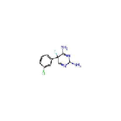 NC1=NC(N)N=CC1(F)c1cccc(Cl)c1